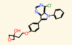 OC1(CCOc2ccc(-c3cn(-c4ccccc4)c4c(Cl)ncnc34)cc2)COC1